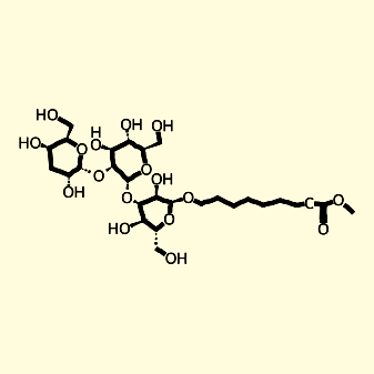 COC(=O)CCCCCCCCO[C@H]1O[C@H](CO)[C@@H](O)[C@H](O[C@H]2O[C@H](CO)[C@@H](O)[C@H](O)[C@H]2O[C@H]2O[C@H](CO)[C@H](O)C[C@H]2O)[C@H]1O